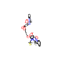 COc1cc2c(cc1OCCCCCOc1cc3c(cc1OC)C(=O)N1c4ccccc4C[C@H]1CN3CC(C)(C)SC)N=C[C@@H]1Cc3ccccc3N1C2=O